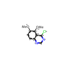 COc1ccc2ncnc(Cl)c2c1OC